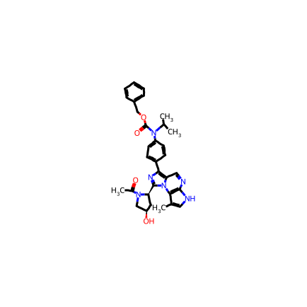 CC(=O)N1C[C@H](O)C[C@@H]1c1nc(-c2ccc(N(C(=O)OCc3ccccc3)C(C)C)cc2)c2cnc3[nH]cc(C)c3n12